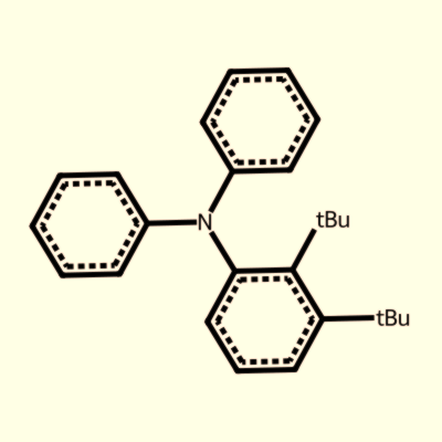 CC(C)(C)c1cccc(N(c2ccccc2)c2ccccc2)c1C(C)(C)C